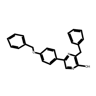 Oc1ncc(-c2ccc(OCc3ccccc3)cc2)nc1Cc1ccccc1